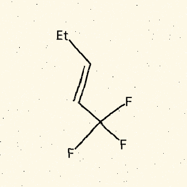 [CH2]CC=CC(F)(F)F